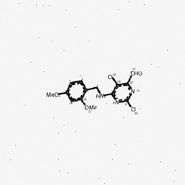 COc1ccc(CNc2nc(Cl)nc(C=O)c2Cl)c(OC)c1